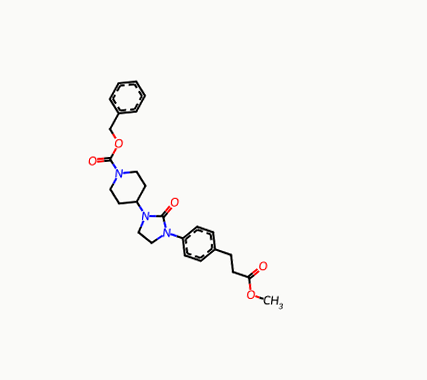 COC(=O)CCc1ccc(N2CCN(C3CCN(C(=O)OCc4ccccc4)CC3)C2=O)cc1